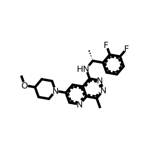 COC1CCN(c2cnc3c(C)nnc(N[C@H](C)c4cccc(F)c4F)c3c2)CC1